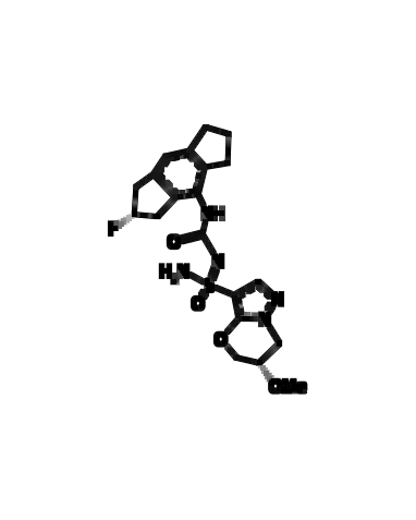 CO[C@@H]1COc2c(S(N)(=O)=NC(=O)Nc3c4c(cc5c3C[C@H](F)C5)CCC4)cnn2C1